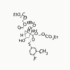 CCOC(=O)OCOC(=O)[C@H]1[C@@H]2[C@H](O)[C@@H](CSc3ccc(F)c(C)c3)[C@@](NC(=O)OC(C)(C)C)(C(=O)OCOC(=O)OCC)[C@H]12